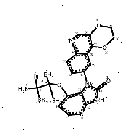 BC(B)(B)C(B)(B)Oc1ccnc2[nH]c(=O)n(-c3ccc4ncc5c(c4c3)OCCO5)c12